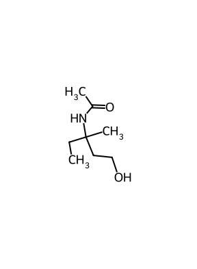 CCC(C)(CCO)NC(C)=O